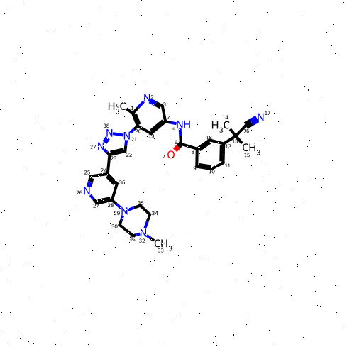 Cc1ncc(NC(=O)c2cccc(C(C)(C)C#N)c2)cc1-n1cc(-c2cncc(N3CCN(C)CC3)c2)nn1